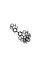 COc1ccc(-c2cc(C)c(C3C(=O)[C@@H]4[C@H](C3=O)[C@H]3CC[C@@H]4O3)c(C)c2)cc1